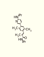 C/C(=C\c1cc(C)c(-c2ccc(NC(C)C)nc2)cc1C)C(=O)NC(C)C